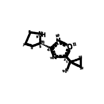 FC1(c2nc([C@@H]3CCCN3)no2)CC1